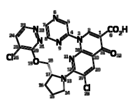 O=C(O)c1cn(-c2cnccn2)c2nc(N3CCC[C@@H]3COc3nnccc3Cl)c(Cl)cc2c1=O